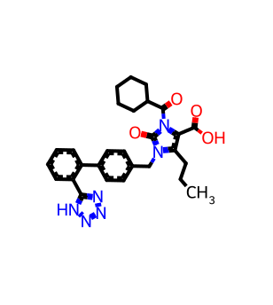 CCCc1c(C(=O)O)n(C(=O)C2CCCCC2)c(=O)n1Cc1ccc(-c2ccccc2-c2nnn[nH]2)cc1